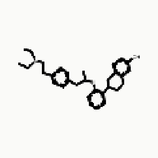 CCN(CC)CCc1ccc(CC(C)Nc2ccccc2C2CCc3cc(O)ccc3C2)cc1